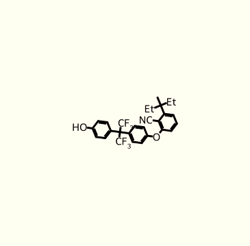 CCC(C)(CC)c1cccc(Oc2ccc(C(c3ccc(O)cc3)(C(F)(F)F)C(F)(F)F)cc2)c1C#N